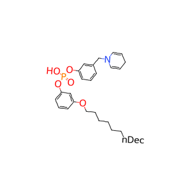 CCCCCCCCCCCCCCCCOc1cccc(OP(=O)(O)Oc2cccc(CN3C=CCC=C3)c2)c1